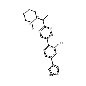 CN(c1ncc(-c2ccc(-c3cn[nH]c3)cc2O)nn1)[C@@H]1CCOC[C@@H]1F